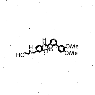 COc1ccc(-c2cccc3c(Nc4ccc(CNCCO)cc4Cl)nsc23)cc1OC